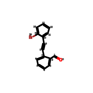 O=Cc1ccccc1C#Cc1ccccc1Br